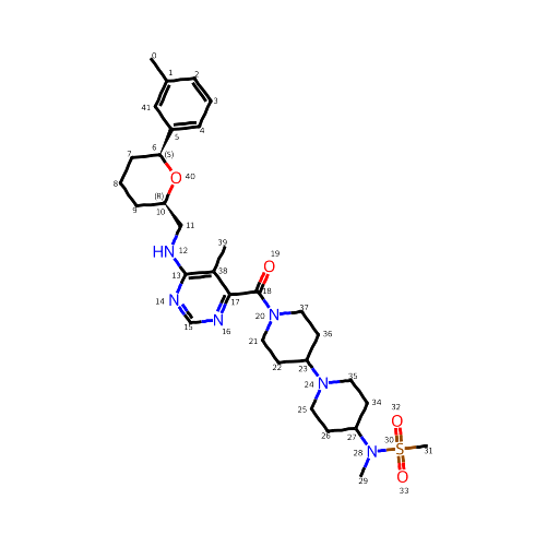 Cc1cccc([C@@H]2CCC[C@H](CNc3ncnc(C(=O)N4CCC(N5CCC(N(C)S(C)(=O)=O)CC5)CC4)c3C)O2)c1